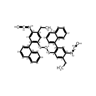 CCc1cc(SOSc2cc(CC)c(N=C=O)cc2-c2cccc3ccccc23)c(-c2cccc3ccccc23)cc1N=C=O